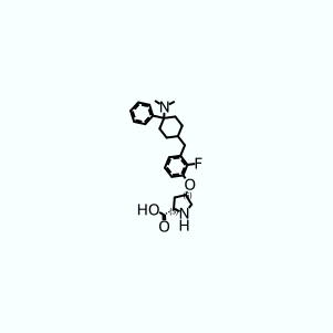 CN(C)C1(c2ccccc2)CCC(Cc2cccc(O[C@@H]3CN[C@H](C(=O)O)C3)c2F)CC1